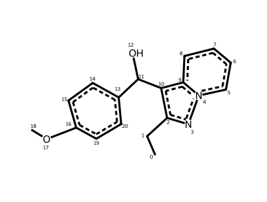 CCc1nn2ccccc2c1C(O)c1ccc(OC)cc1